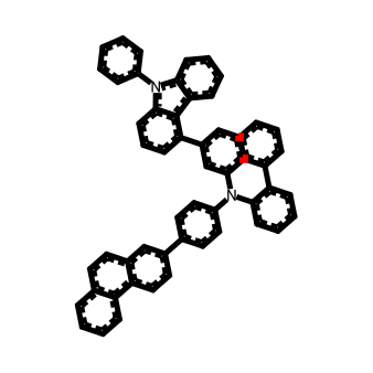 c1ccc(-c2ccccc2N(c2ccc(-c3ccc4c(ccc5ccccc54)c3)cc2)c2cccc(-c3cccc4c3c3ccccc3n4-c3ccccc3)c2)cc1